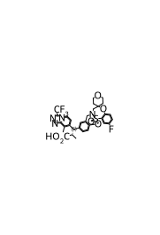 Cc1ccc([C@@H](c2ccn3c(C(F)(F)F)nnc3c2C)C(C)C(=O)O)cc1CN1CC2(CCOCC2)Oc2ccc(F)cc2S1(=O)=O